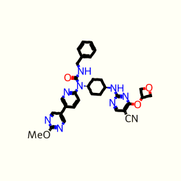 COc1ncc(-c2ccc(N(C(=O)NCc3ccccc3)[C@H]3CC[C@H](Nc4ncc(C#N)c(OC5COC5)n4)CC3)nc2)cn1